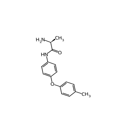 Cc1ccc(Oc2ccc(NC(=O)[C@H](C)N)cc2)cc1